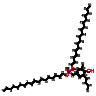 CCCCCCCCCCCCCCCCCCOP(=O)(Cc1cc(C)c(O)c(CCCC)c1)OCCCCCCCCCCCCCCCCCC